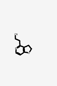 N#CCCc1nccc2c1CCO2